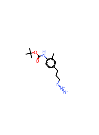 Cc1cc(CCCN=[N+]=[N-])ccc1NC(=O)OC(C)(C)C